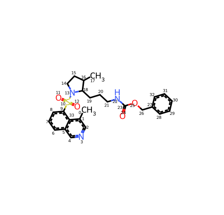 Cc1cncc2cccc(S(=O)(=O)N3CCC(C)C3CCCNC(=O)OCc3ccccc3)c12